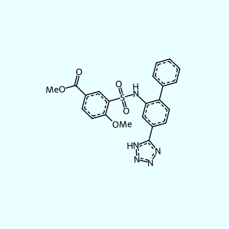 COC(=O)c1ccc(OC)c(S(=O)(=O)Nc2cc(-c3nnn[nH]3)ccc2-c2ccccc2)c1